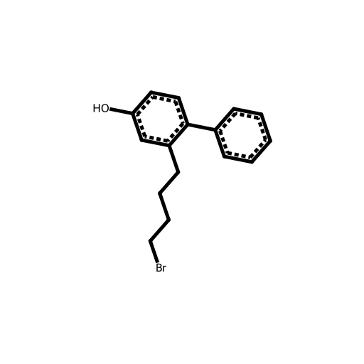 Oc1ccc(-c2ccccc2)c(CCCCBr)c1